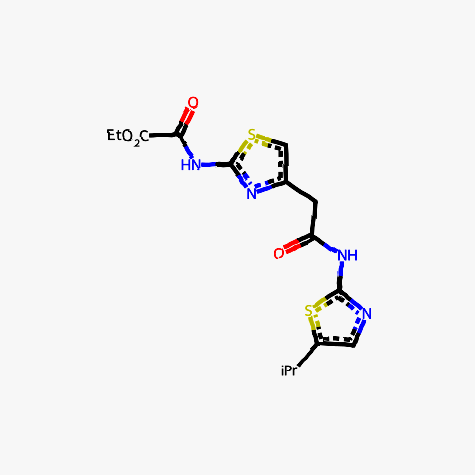 CCOC(=O)C(=O)Nc1nc(CC(=O)Nc2ncc(C(C)C)s2)cs1